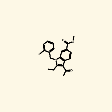 CCc1c(C(C)=O)c2ccc(C(=O)OC)cc2n1Cc1ccccc1Cl